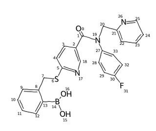 O=C(c1ccc(SCc2ccccc2B(O)O)nc1)N(Cc1ccccn1)c1ccc(F)cc1